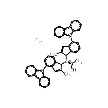 CC1=Cc2c(cccc2-n2c3ccccc3c3ccccc32)[CH]1[Zr+2]([CH]1C(C)=Cc2c1cccc2-n1c2ccccc2c2ccccc21)=[Si](C)C.[F-].[F-]